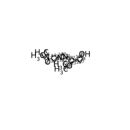 CCN(CC)C(=O)c1ccc(N2CCN(Cc3cc(OC(C)C)cc(-c4cccc(O)c4)c3)CC2)cc1